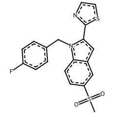 CS(=O)(=O)c1ccc2c(c1)cc(-c1nccs1)n2Cc1ccc(F)cc1